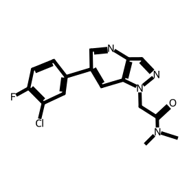 CN(C)C(=O)Cn1ncc2ncc(-c3ccc(F)c(Cl)c3)cc21